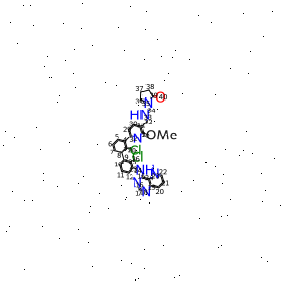 COc1nc(-c2cccc(-c3cccc(Nc4ncnc5cccnc45)c3Cl)c2Cl)ccc1CNCN1CCCC1=O